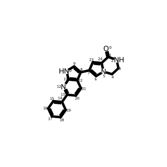 O=C1NCCn2cc(-c3c[nH]c4nc(-c5ccccc5)ccc34)cc21